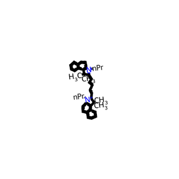 CCCN1/C(=C/C=C/C=C/C2=[N+](CCC)c3ccc4ccccc4c3C2(C)C)C(C)(C)c2c1ccc1ccccc21